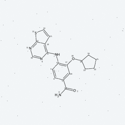 NC(=O)c1ccc(Nc2ncnc3sccc23)c(OC2CCCC2)c1